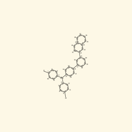 Cc1ccc(N(c2ccc(C)cc2)c2ccc(-c3cccc(-c4cc5ccccc5cn4)c3)cc2)cc1